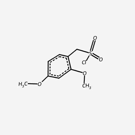 COc1ccc(CS(=O)(=O)Cl)c(OC)c1